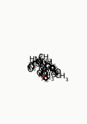 C[C@H](NC(=O)CN1CCOCC1)C(=O)N[C@@H](Cc1ccc(S(C)(=O)=O)cc1)C(=O)N[C@@H](CC1CCCC1)C(=O)[C@@]1(C)CO1